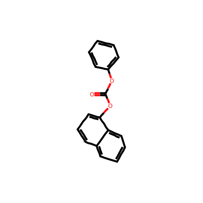 O=C(Oc1ccccc1)Oc1cc[c]c2ccccc12